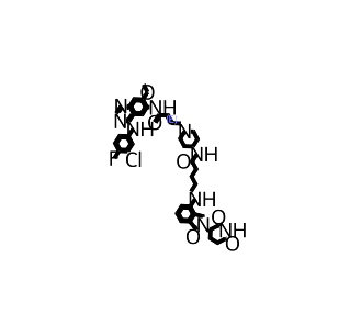 COc1cc2ncnc(Nc3ccc(F)c(Cl)c3)c2cc1NC(=O)/C=C/CN1CCC(NC(=O)CCCCNc2cccc3c2CN(C2CCC(=O)NC2=O)C3=O)CC1